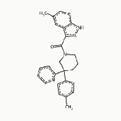 Cc1ccc(C2(c3ccccn3)CCCN(C(=O)c3n[nH]c4ccc(C)cc34)C2)cc1